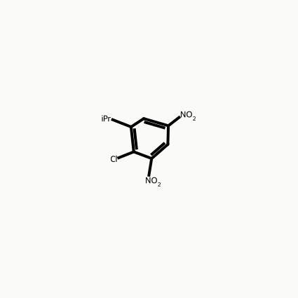 CC(C)c1cc([N+](=O)[O-])cc([N+](=O)[O-])c1Cl